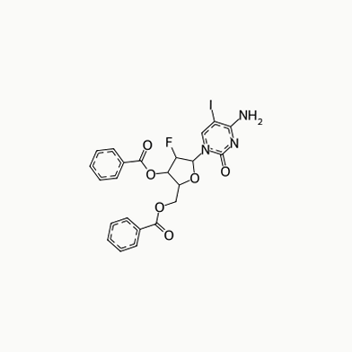 Nc1nc(=O)n(C2OC(COC(=O)c3ccccc3)C(OC(=O)c3ccccc3)C2F)cc1I